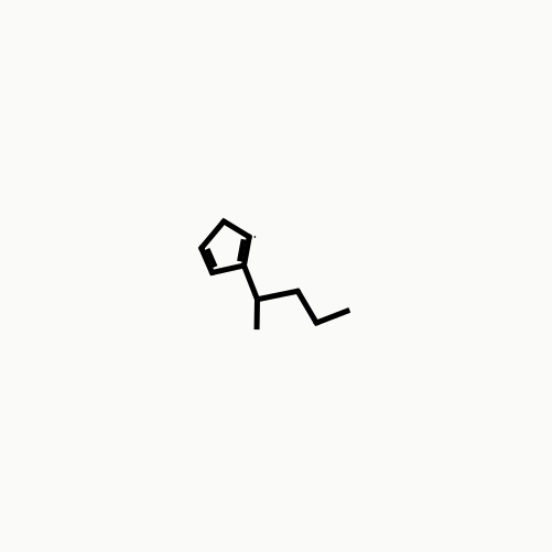 CCCC(C)C1=[C]CC=C1